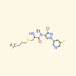 CCN(C(=O)C(=N)CSCCCC(F)(F)F)c1cn(-c2cncc(F)c2)nc1Cl